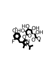 COC(=O)C(O)[C@H]1O[C@@H](Oc2nn(C(C)C)c(C)c2Cc2ccc(OC)cc2F)[C@H](O)[C@@H](O)[C@@H]1O